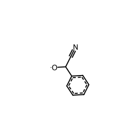 N#CC([O])c1ccccc1